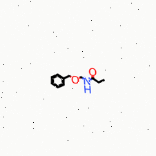 CCC(=O)NCOCc1ccccc1